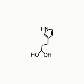 OC(O)CCc1cc[nH]c1